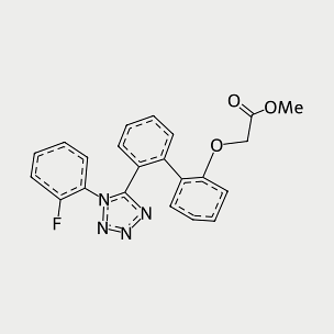 COC(=O)COc1ccccc1-c1ccccc1-c1nnnn1-c1ccccc1F